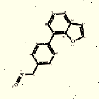 O=[S+]Cc1ccc(-c2cccc3ccoc23)cc1